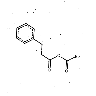 C[CH]C(=O)OC(=O)CCc1ccccc1